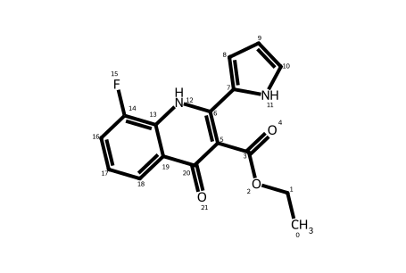 CCOC(=O)c1c(-c2ccc[nH]2)[nH]c2c(F)cccc2c1=O